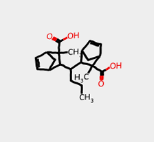 CCCC(C1C2C=CC(C2)C1(C)C(=O)O)C1C2C=CC(C2)C1(C)C(=O)O